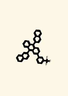 FC(F)(F)c1cccc(-c2ccc3c(-c4ccc5ccccc5c4)c4ccccc4c(-c4ccc5ccccc5c4)c3c2)c1